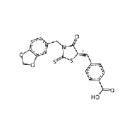 O=C(O)c1ccc(/C=C2\SC(=S)N(Cc3ccc4c(c3)OCO4)C2=O)cc1